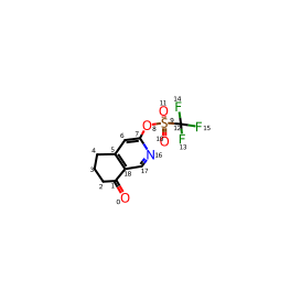 O=C1CCCc2cc(OS(=O)(=O)C(F)(F)F)ncc21